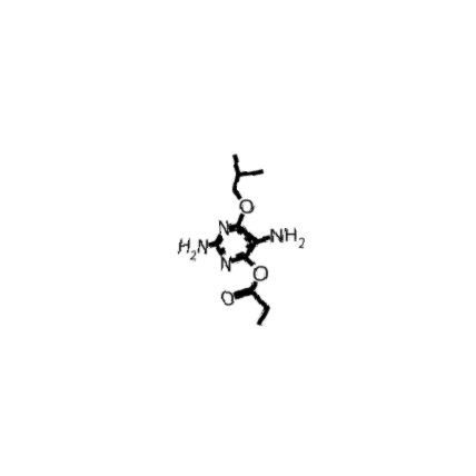 CCC(=O)Oc1nc(N)nc(OCC(C)C)c1N